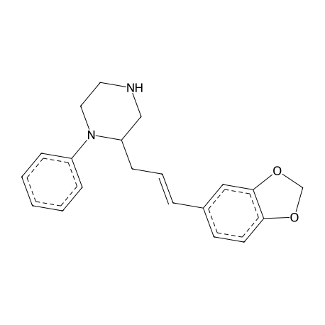 C(=Cc1ccc2c(c1)OCO2)CC1CNCCN1c1ccccc1